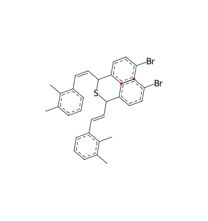 Cc1cccc(C=CC(SC(/C=C\c2cccc(C)c2C)c2ccc(Br)cc2)c2ccc(Br)cc2)c1C